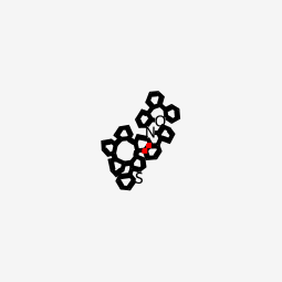 c1ccc(-c2ccccc2N(c2ccc3c(c2)c2ccccc2c2ccccc2c2ccccc2c2c3ccc3sc4ccccc4c32)c2cccc3c2Oc2ccccc2-c2ccccc2-3)cc1